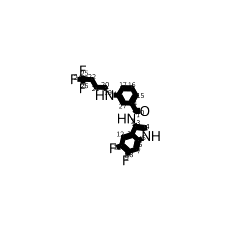 O=C(Nc1c[nH]c2cc(F)c(F)cc12)c1cccc(NCCCC(F)(F)F)c1